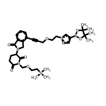 CC1(C)OB(c2cnn(CCOCC#Cc3cccc4c3CN(C3CCC(=O)N(COCC[Si](C)(C)C)C3=O)C4=O)c2)OC1(C)C